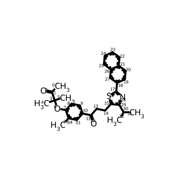 CC(=O)C(C)(C)Oc1ccc(C(=O)CCc2sc(-c3ccc4ccccc4c3)nc2C(C)C)cc1C